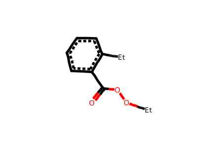 CCOOC(=O)c1ccccc1CC